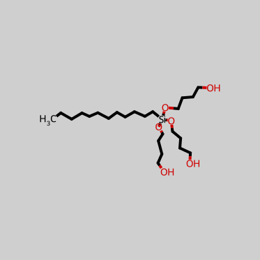 CCCCCCCCCCCC[Si](OCCCCO)(OCCCCO)OCCCCO